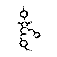 COc1ccc(NC(=O)CC2C(=O)N(c3ccc(F)cc3)C(=S)N2CCc2cccs2)cc1